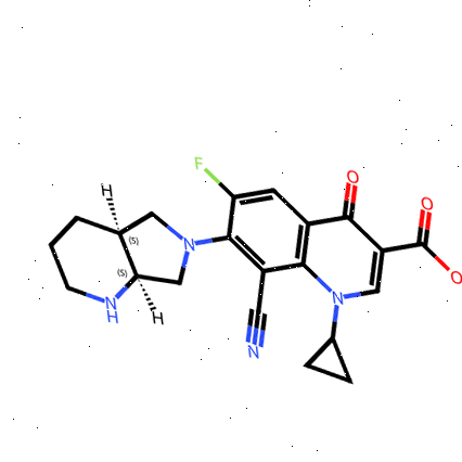 N#Cc1c(N2C[C@@H]3CCCN[C@@H]3C2)c(F)cc2c(=O)c(C(=O)O)cn(C3CC3)c12